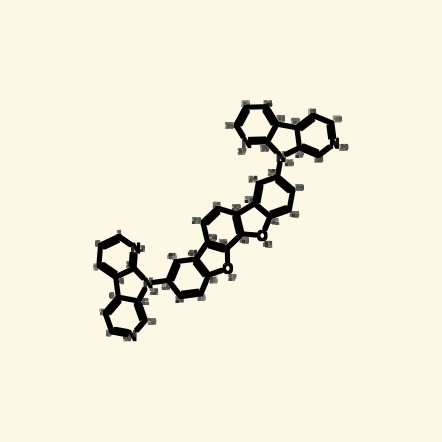 c1cnc2c(c1)c1ccncc1n2-c1ccc2oc3c(ccc4c5cc(-n6c7cnccc7c7cccnc76)ccc5oc43)c2c1